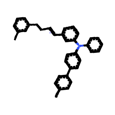 Cc1ccc(-c2ccc(N(c3ccccc3)c3cccc(/C=C/CCc4cccc(C)c4)c3)cc2)cc1